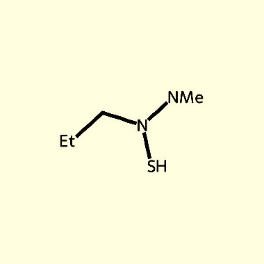 CCCN(S)NC